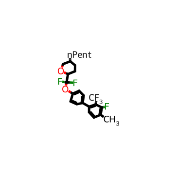 CCCCCC1CCC(C(F)(F)Oc2ccc(-c3ccc(C)c(F)c3C(F)(F)F)cc2)OC1